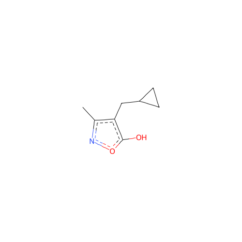 Cc1noc(O)c1CC1CC1